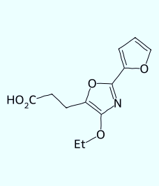 CCOc1nc(-c2ccco2)oc1CCC(=O)O